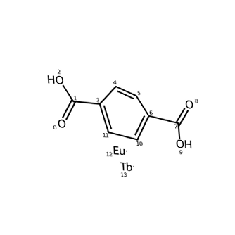 O=C(O)c1ccc(C(=O)O)cc1.[Eu].[Tb]